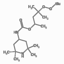 CC(CC(C)(C)OOC(C)(C)C)OC(=O)NC1CC(C)(C)NC(C)(C)C1